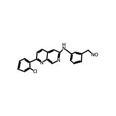 O=NCc1cccc(Nc2cc3ccc(-c4ccccc4Cl)nc3cn2)c1